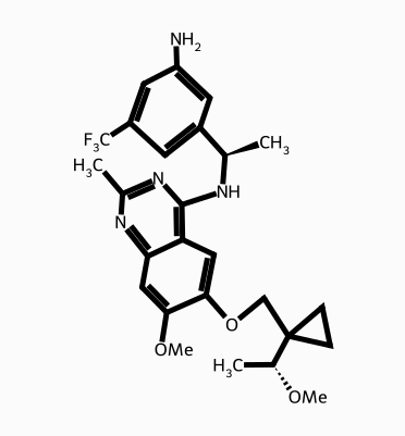 COc1cc2nc(C)nc(N[C@H](C)c3cc(N)cc(C(F)(F)F)c3)c2cc1OCC1([C@@H](C)OC)CC1